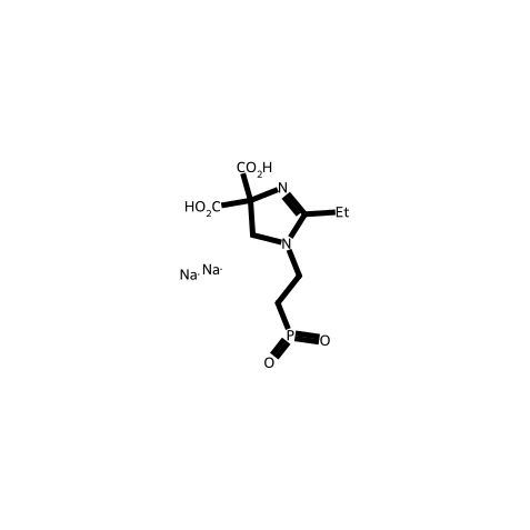 CCC1=NC(C(=O)O)(C(=O)O)CN1CCP(=O)=O.[Na].[Na]